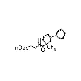 CCCCCCCCCCCCNC(=O)C1(C(F)(F)F)C=CC=C(c2ccccc2)C1